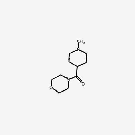 CN1CCC(C(=O)N2CCOCC2)CC1